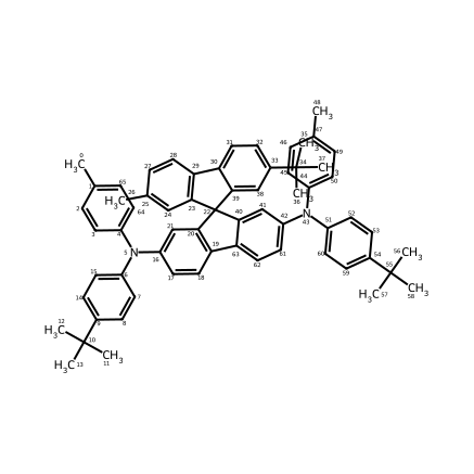 Cc1ccc(N(c2ccc(C(C)(C)C)cc2)c2ccc3c(c2)C2(c4cc(C)ccc4-c4ccc(C(C)(C)C)cc42)c2cc(N(c4ccc(C)cc4)c4ccc(C(C)(C)C)cc4)ccc2-3)cc1